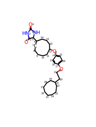 O=C1NC(=O)C(C2CCCCCC(Oc3ccc(OCCC4CCCCCCCC4)cc3)CCC2)N1